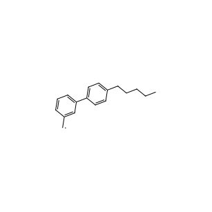 [CH2]c1cccc(-c2ccc(CCCCC)cc2)c1